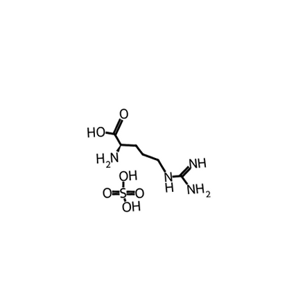 N=C(N)NCCC[C@@H](N)C(=O)O.O=S(=O)(O)O